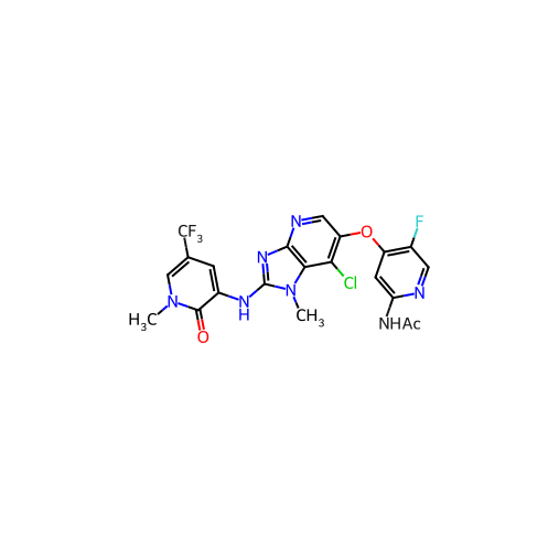 CC(=O)Nc1cc(Oc2cnc3nc(Nc4cc(C(F)(F)F)cn(C)c4=O)n(C)c3c2Cl)c(F)cn1